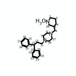 CN1CCCC(CN2CCN(CCC(c3ccccc3)c3ccccc3)CC2)C1